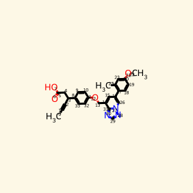 CC#CC(CC(=O)O)c1ccc(OCc2cc(-c3ccc(OC)cc3C)cn3ncnc23)cc1